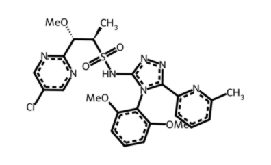 COc1cccc(OC)c1-n1c(NS(=O)(=O)[C@H](C)[C@@H](OC)c2ncc(Cl)cn2)nnc1-c1cccc(C)n1